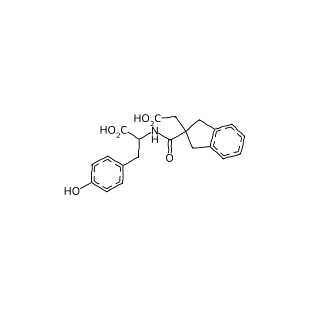 O=C(O)CC1(C(=O)NC(Cc2ccc(O)cc2)C(=O)O)Cc2ccccc2C1